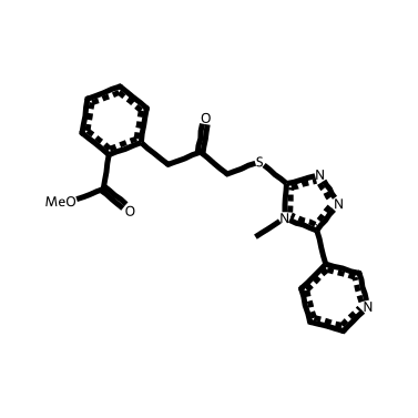 COC(=O)c1ccccc1CC(=O)CSc1nnc(-c2cccnc2)n1C